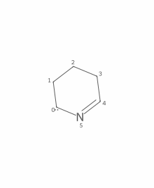 [C]1CCCC=N1